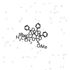 COCCOC1OC(CO[Si](C)(C)C(C)(C)C)C(OC(=O)c2ccccc2)C(OC(=O)c2ccccc2)C1OC(=O)c1ccccc1